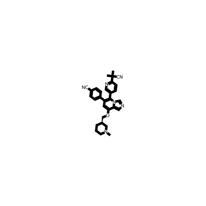 CN1CCC[C@@H](COc2cc(-c3ccc(C#N)cc3)c(-c3ccc(C(C)(C)C#N)nc3)n3cncc23)C1